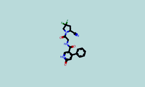 N#CC1CC(F)(F)CN1C(=O)CNC(=O)c1c[nH]c(=O)cc1-c1ccccc1